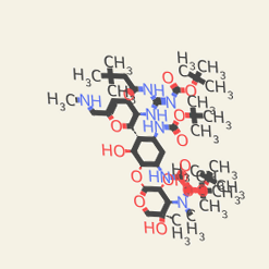 CNCC1=CC[C@@H](N/C(=N/C(=O)OC(C)(C)C)NC(=O)CC(C)(C)C)C([C@H]2[C@H](O)[C@@H](O[C@H]3OC[C@](C)(O)[C@H](N(C)C(=O)OC(C)(C)C)[C@H]3O)[C@H](NC(=O)OC(C)(C)C)C[C@@H]2NC(=O)OC(C)(C)C)O1